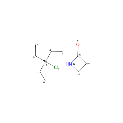 CC[Si](Cl)(CC)CC.O=C1CCN1